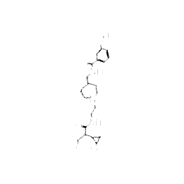 O=CCC(C(=O)NCCN1CCC(CNC(=O)c2cccc(OC(F)(F)F)c2)CC1)C1CC1